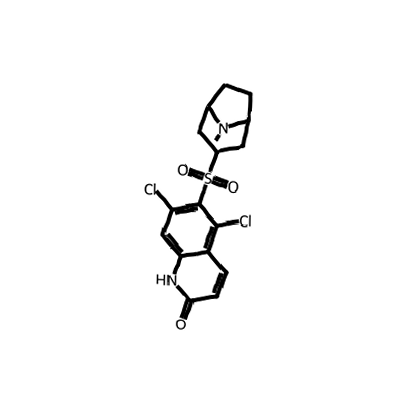 CN1C2CCC1CC(S(=O)(=O)c1c(Cl)cc3[nH]c(=O)ccc3c1Cl)C2